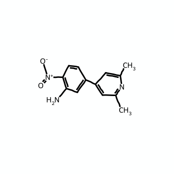 Cc1cc(-c2ccc([N+](=O)[O-])c(N)c2)cc(C)n1